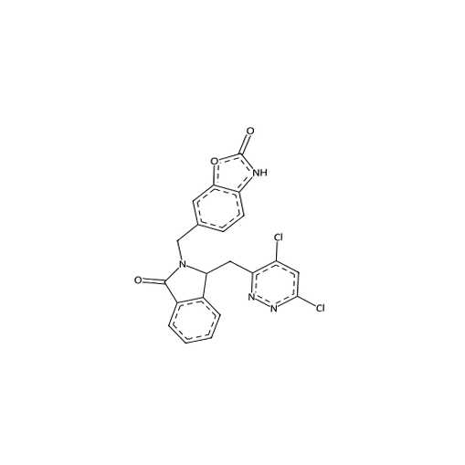 O=C1c2ccccc2C(Cc2nnc(Cl)cc2Cl)N1Cc1ccc2[nH]c(=O)oc2c1